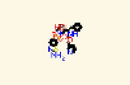 CC(C)CN(C[C@@H](O)[C@H](Cc1ccccc1)NC(=O)OCc1cccnc1)S(=O)(=O)c1ccc2nc(N)sc2c1